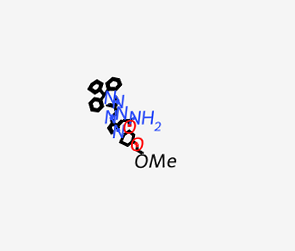 COCCOC1CCC(n2ccc3nc(-c4cn(C(c5ccccc5)(c5ccccc5)c5ccccc5)cn4)nc(C(N)=O)c32)CC1